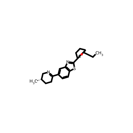 CCC1CC2(c3nc4cc(C5=NC[C@@H](C)CC5)ccc4s3)CCC1CC2